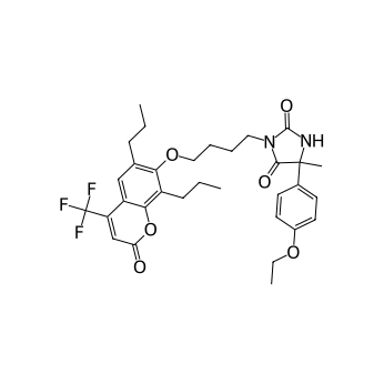 CCCc1cc2c(C(F)(F)F)cc(=O)oc2c(CCC)c1OCCCCN1C(=O)NC(C)(c2ccc(OCC)cc2)C1=O